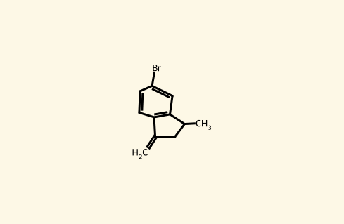 C=C1CC(C)c2cc(Br)ccc21